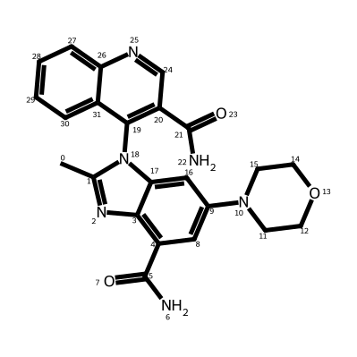 Cc1nc2c(C(N)=O)cc(N3CCOCC3)cc2n1-c1c(C(N)=O)cnc2ccccc12